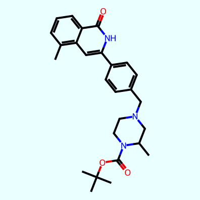 Cc1cccc2c(=O)[nH]c(-c3ccc(CN4CCN(C(=O)OC(C)(C)C)C(C)C4)cc3)cc12